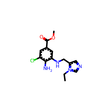 CCn1cncc1CNc1cc(C(=O)OC)cc(Cl)c1N